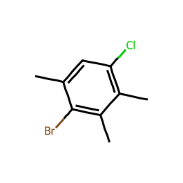 Cc1cc(Cl)c(C)c(C)c1Br